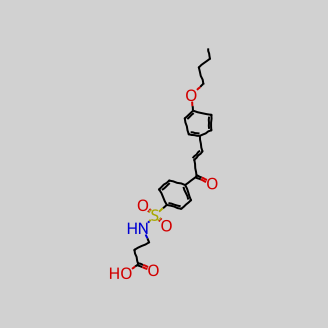 CCCCOc1ccc(/C=C/C(=O)c2ccc(S(=O)(=O)NCCC(=O)O)cc2)cc1